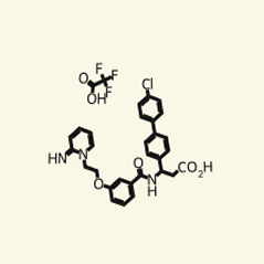 N=c1ccccn1CCOc1cccc(C(=O)NC(CC(=O)O)c2ccc(-c3ccc(Cl)cc3)cc2)c1.O=C(O)C(F)(F)F